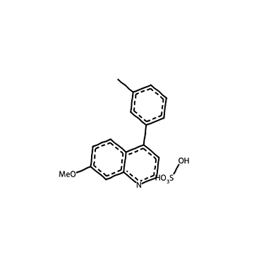 COc1ccc2c(-c3cccc(C)c3)ccnc2c1.O=S(=O)(O)O